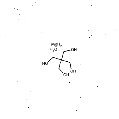 O.OCC(CO)(CO)CO.[MgH2]